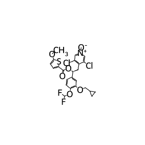 COc1ccc(C(=O)O[C@@H](Cc2c(Cl)c[n+]([O-])cc2Cl)c2ccc(OC(F)F)c(OCC3CC3)c2)s1